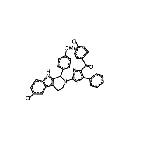 COc1ccc(C2c3[nH]c4ccc(Cl)cc4c3CCN2c2nc(C(=O)c3ccc(Cl)cc3)c(-c3ccccc3)s2)cc1